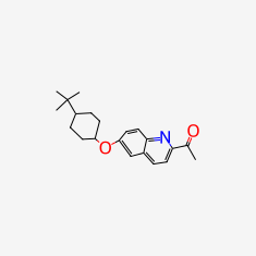 CC(=O)c1ccc2cc(OC3CCC(C(C)(C)C)CC3)ccc2n1